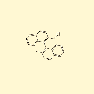 Cc1ccc2ccccc2c1-c1c(CCl)ccc2ccccc12